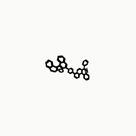 c1ccc(-c2nc3ccccc3c3c2ccc2c(-c4ccc(-c5cc6ccccc6c6c5oc5ccc7ccccc7c56)cc4)cccc23)cc1